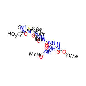 CCCN(C(=O)[C@@H](NC(=O)C(C)(C)N(C)CCC(=O)NC(CCCCNC(=O)CCOCCOC)C(=O)NC(C)C(=O)NCCCC(=O)NC)C(C)CC)[C@H](C[C@@H](OC(C)=O)c1nc(C(=O)N[C@@H](Cc2ccccn2)CC(C)C(=O)O)cs1)C(C)C